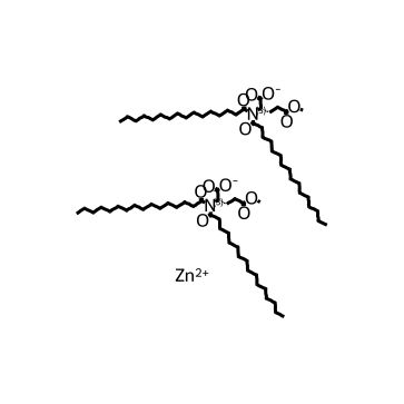 CCCCCCCCCCCCCCCC(=O)N(C(=O)CCCCCCCCCCCCCCC)[C@@H](CCC(=O)OC)C(=O)[O-].CCCCCCCCCCCCCCCC(=O)N(C(=O)CCCCCCCCCCCCCCC)[C@@H](CCC(=O)OC)C(=O)[O-].[Zn+2]